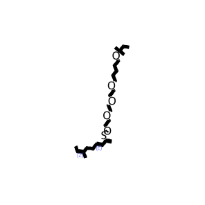 C=C(/C=C/CC/C(C)=C\C)SOCCOCCOCCOCCCCCOC(C)(C)CC